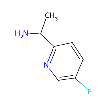 CC(N)c1ccc(F)cn1